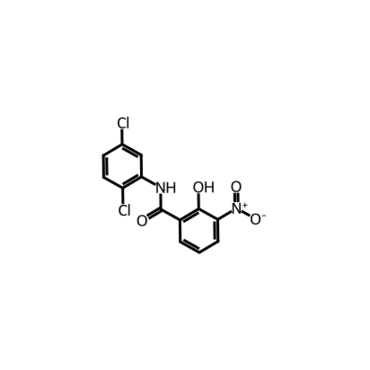 O=C(Nc1cc(Cl)ccc1Cl)c1cccc([N+](=O)[O-])c1O